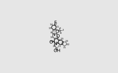 CC(C)(C)OC(=O)N(Cc1ccc(F)cc1)Cc1cc2cc3c(cc2n(CCO)c1=O)CCC3